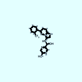 Oc1cnc(C(O)Nc2cnc3ccc(-c4ccccc4C(F)(F)F)nn23)cn1